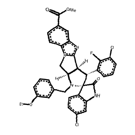 CCOc1cccc(CN2[C@H]3Cn4c(nc5cc(C(=O)OC)ccc54)[C@H]3[C@H](c3cccc(Cl)c3F)[C@]23C(=O)Nc2cc(Cl)ccc23)c1